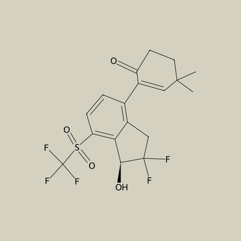 CC1(C)C=C(c2ccc(S(=O)(=O)C(F)(F)F)c3c2CC(F)(F)[C@H]3O)C(=O)CC1